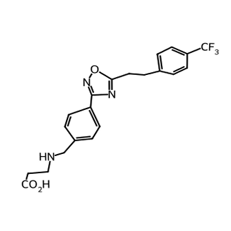 O=C(O)CCNCc1ccc(-c2noc(CCc3ccc(C(F)(F)F)cc3)n2)cc1